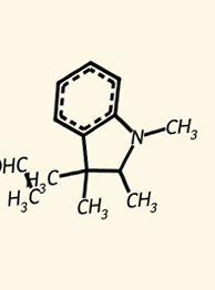 CC1N(C)c2ccccc2C1(C)C.CC=O